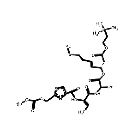 C/C=C(\NC(=O)c1csc(CNC(=O)OC(C)(C)C)n1)C(=O)NC(C(=O)O[C@H](/C=C/CCSC(C)=O)CC(=O)OCC[Si](C)(C)C)C(C)C